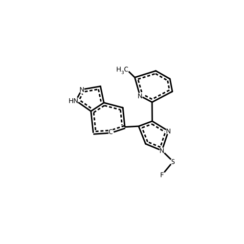 Cc1cccc(-c2nn(SF)cc2-c2ccc3[nH]ncc3c2)n1